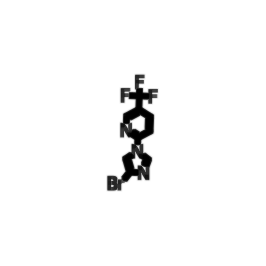 FC(F)(F)c1ccc(-n2cnc(Br)c2)nc1